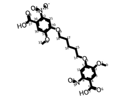 COc1cc(C(=O)O)c(N=O)cc1OCCCCCOc1cc([N+](=O)[O-])c(C(=O)O)cc1OC